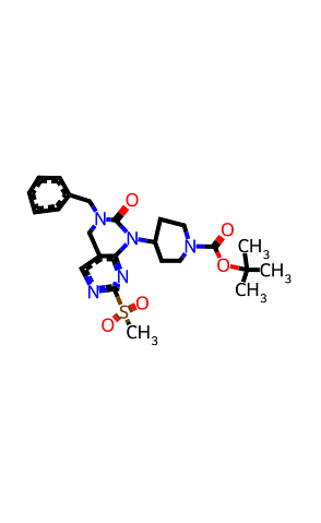 CC(C)(C)OC(=O)N1CCC(N2C(=O)N(Cc3ccccc3)Cc3cnc(S(C)(=O)=O)nc32)CC1